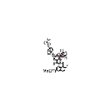 C#Cc1c(F)ccc2cc(OCOC)cc(-c3ncc4c(N5C[C@H]6CC[C@@H](C5)N6C(=O)OC(C)(C)C)nc(OC[C@]56CCCN5[C@@H](COC(=O)N(C)C)CC6)nc4c3F)c12